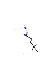 CCCCCCC(C)(CC)CCc1nn[nH]n1